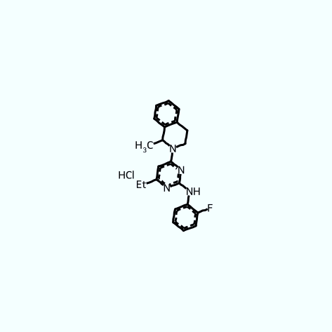 CCc1cc(N2CCc3ccccc3C2C)nc(Nc2ccccc2F)n1.Cl